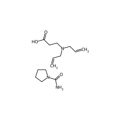 C=CCN(CC=C)CCC(=O)O.NC(=O)N1CCCC1